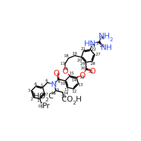 CC(C)c1cccc(CN(C(=O)c2cccc3c2OCCCc2cc(NC(=N)N)ccc2C(=O)O3)[C@@H](CC(=O)O)C(=O)O)c1